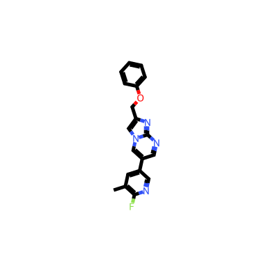 Cc1cc(-c2cnc3nc(COc4ccccc4)cn3c2)cnc1F